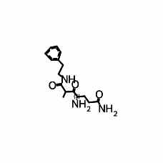 CC(C(=O)NCCc1ccccc1)C(=O)[C@@H](N)CCC(N)=O